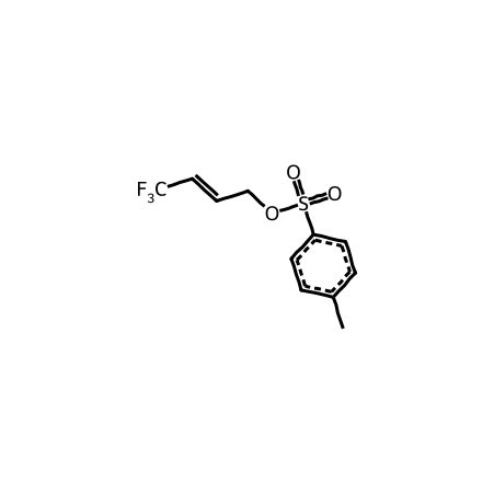 Cc1ccc(S(=O)(=O)OCC=CC(F)(F)F)cc1